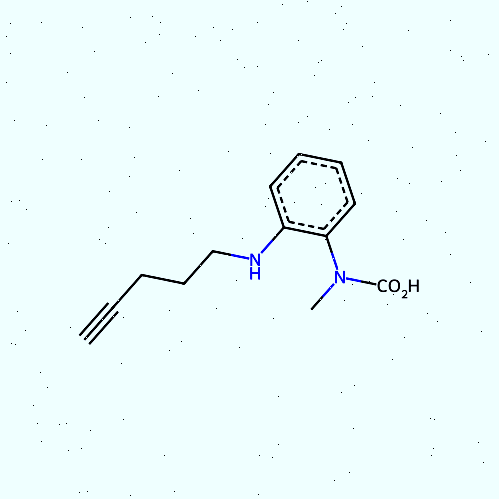 C#CCCCNc1ccccc1N(C)C(=O)O